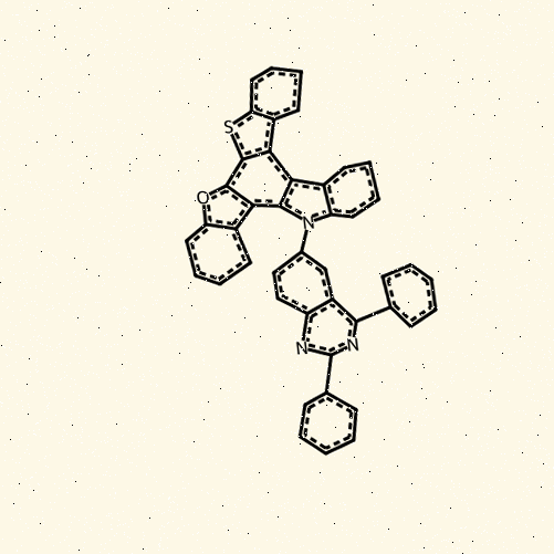 c1ccc(-c2nc(-c3ccccc3)c3cc(-n4c5ccccc5c5c6c7ccccc7sc6c6oc7ccccc7c6c54)ccc3n2)cc1